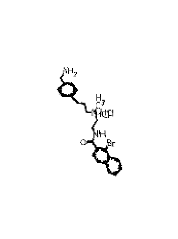 CN(CCCc1ccc(CN)cc1)CCNC(=O)c1ccc2ccccc2c1Br.Cl.Cl